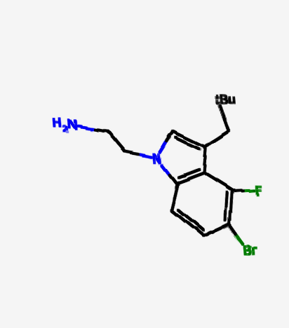 CC(C)(C)Cc1cn(CCN)c2ccc(Br)c(F)c12